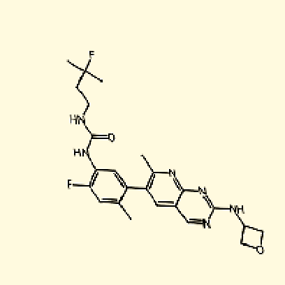 Cc1cc(F)c(NC(=O)NCCC(C)(C)F)cc1-c1cc2cnc(NC3COC3)nc2nc1C